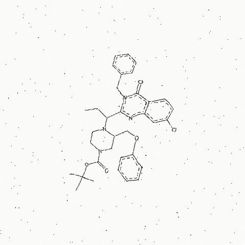 CCC(c1nc2cc(Cl)ccc2c(=O)n1Cc1ccccc1)N1CCN(C(=O)OC(C)(C)C)CC1COc1ccccc1